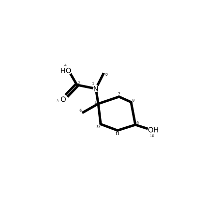 CN(C(=O)O)C1(C)CCC(O)CC1